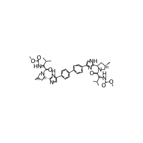 COC(=O)N[C@H](C(=O)N1C[C@H](C)CC1c1nc(-c2ccc(-c3ccc(-c4cnc([C@@H]5C[C@@H](C)CN5C(=O)[C@@H](NC(=O)OC)C(C)C)[nH]4)cc3)cc2)c[nH]1)C(C)C